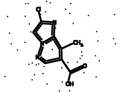 Cc1c(C(=O)O)cnn2cc(Cl)nc12